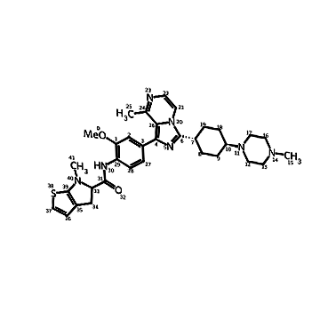 COc1cc(-c2nc([C@H]3CC[C@H](N4CCN(C)CC4)CC3)n3ccnc(C)c23)ccc1NC(=O)C1Cc2ccsc2N1C